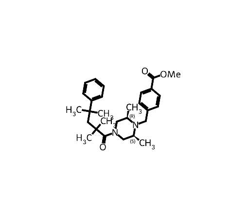 COC(=O)c1ccc(CN2[C@H](C)CN(C(=O)C(C)(C)CC(C)(C)c3ccccc3)C[C@@H]2C)cc1